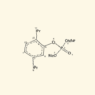 COP(=O)(OC)Oc1cc(C(C)C)ccc1C(C)C